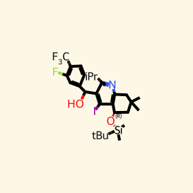 CC(C)c1nc2c(c(I)c1C(O)c1ccc(C(F)(F)F)c(F)c1)[C@H](O[Si](C)(C)C(C)(C)C)CC(C)(C)C2